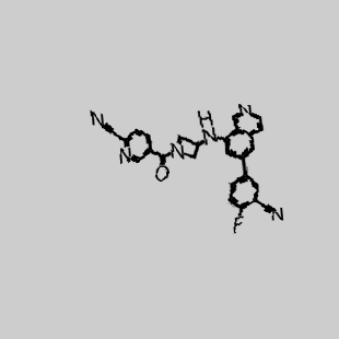 N#Cc1ccc(C(=O)N2CC(Nc3cc(-c4ccc(F)c(C#N)c4)cc4ccncc34)C2)cn1